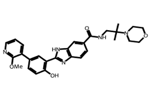 COc1ncccc1-c1ccc(O)c(-c2nc3ccc(C(=O)NCC(C)(C)N4CCOCC4)cc3[nH]2)c1